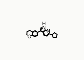 c1cc2c(cc1-c1c[nH]c3nc(C4CCCC4)ccc13)CCCO2